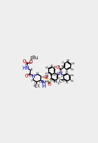 CCC1CN(C(=O)CNC(=O)OC(C)(C)C)CCC1NS(=O)(=O)c1ccc(N(C(=O)c2ccccc2)c2ccccc2C)c2ccccc12